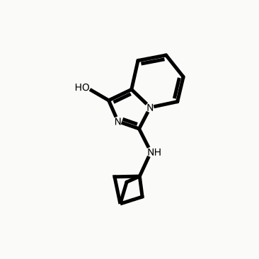 Oc1nc(NC23CC(C2)C3)n2ccccc12